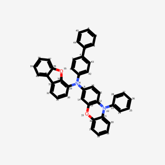 c1ccc(-c2ccc(N(c3ccc4c(c3)Oc3ccccc3N4c3ccccc3)c3cccc4c3oc3ccccc34)cc2)cc1